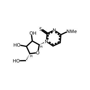 CNc1ccn([C@@H]2O[C@H](CO)C(O)C2O)c(=S)n1